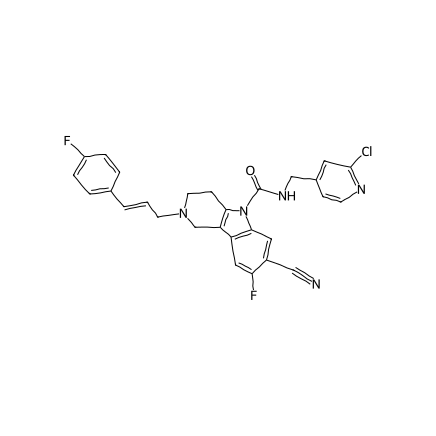 N#Cc1cc2c(cc1F)c1c(n2C(=O)NCc2ccnc(Cl)c2)CCN(CC=Cc2ccc(F)cc2)C1